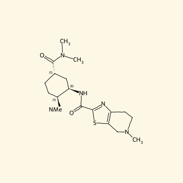 CN[C@H]1CC[C@H](C(=O)N(C)C)C[C@H]1NC(=O)c1nc2c(s1)CN(C)CC2